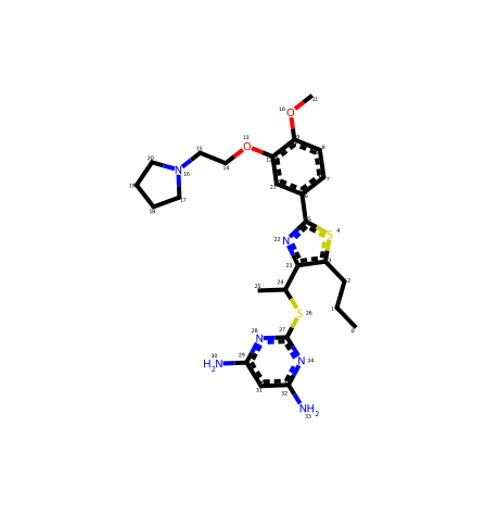 CCCc1sc(-c2ccc(OC)c(OCCN3CCCC3)c2)nc1C(C)Sc1nc(N)cc(N)n1